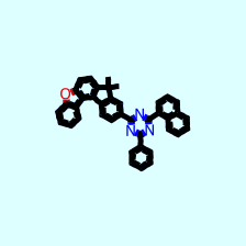 CC1(C)c2cc(-c3nc(-c4ccccc4)nc(-c4cccc5ccccc45)n3)ccc2-c2c1ccc1oc3ccccc3c21